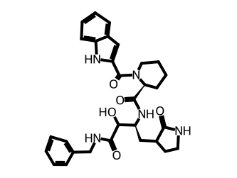 O=C1NCCC1C[C@H](NC(=O)[C@@H]1CCCCN1C(=O)c1cc2ccccc2[nH]1)C(O)C(=O)NCc1ccccc1